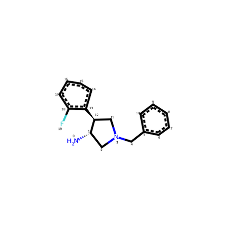 N[C@H]1CN(Cc2ccccc2)C[C@@H]1c1ccccc1F